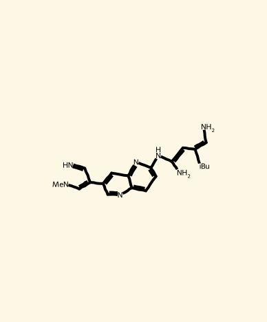 CCC(C)C(=C/N)/C=C(\N)Nc1ccc2ncc(/C(C=N)=C/NC)cc2n1